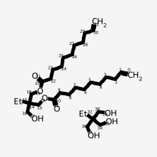 C=CCCCCCCCCC(=O)OCC(CC)(CO)COC(=O)CCCCCCCCC=C.CCC(CO)(CO)CO